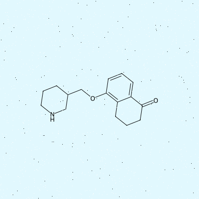 O=C1CCCc2c(OCC3CCCNC3)cccc21